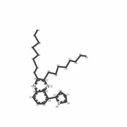 CCCCCCCCc1nc2cccc(-c3cccs3)c2nc1CCCCCCCC